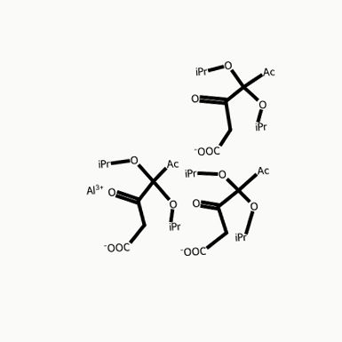 CC(=O)C(OC(C)C)(OC(C)C)C(=O)CC(=O)[O-].CC(=O)C(OC(C)C)(OC(C)C)C(=O)CC(=O)[O-].CC(=O)C(OC(C)C)(OC(C)C)C(=O)CC(=O)[O-].[Al+3]